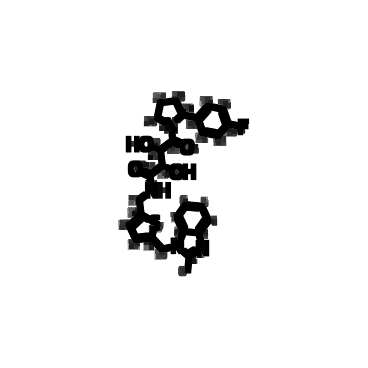 Cc1nc2ccccc2n1Cc1ccc(CNC(=O)[C@H](O)[C@@H](O)C(=O)N2CCCC2c2ccc(F)cc2)s1